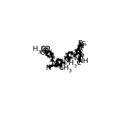 CNc1nc(N2CCCC3(CN(Cc4ccc5c(cc(C#N)n5CCN5CCC(S(C)(=O)=O)CC5)c4C)C3)C2)c2cc(CC(F)(F)F)sc2n1